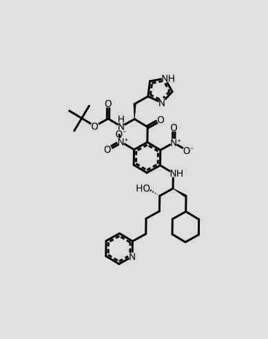 CC(C)(C)OC(=O)N[C@@H](Cc1c[nH]cn1)C(=O)c1c([N+](=O)[O-])ccc(N[C@@H](CC2CCCCC2)[C@@H](O)CCCc2ccccn2)c1[N+](=O)[O-]